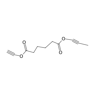 C#COC(=O)CCCCC(=O)OC#CC